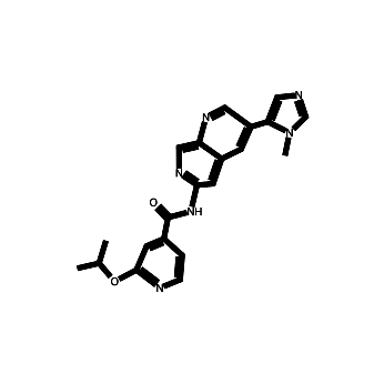 CC(C)Oc1cc(C(=O)Nc2cc3cc(-c4cncn4C)cnc3cn2)ccn1